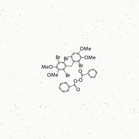 COc1cc(C)c(Cc2c(Br)c(Br)c(OC)c(OC)c2Br)c(Br)c1OC.O=C(OOC(=O)c1ccccc1)c1ccccc1